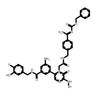 CC(C)Nc1ncc(-c2cc(N)cc(C(=O)NCc3ccc(F)c(O)c3)c2)n(CC(=O)NCc2ccc(/C(N)=N/C(=O)OCc3ccccc3)cc2)c1=O